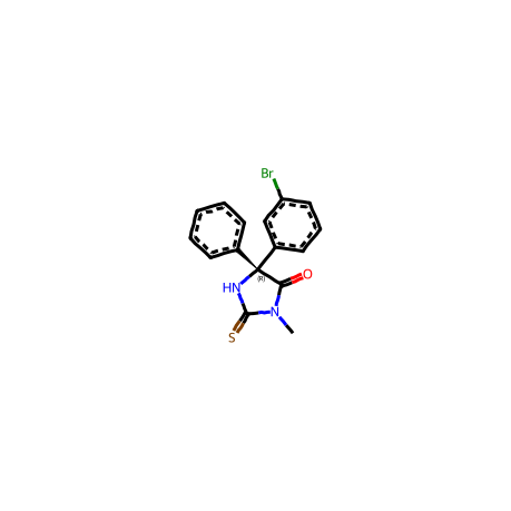 CN1C(=O)[C@@](c2ccccc2)(c2cccc(Br)c2)NC1=S